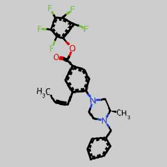 C/C=C\c1cc(C(=O)Oc2c(F)c(F)c(F)c(F)c2F)ccc1N1CCN(Cc2ccccc2)[C@H](C)C1